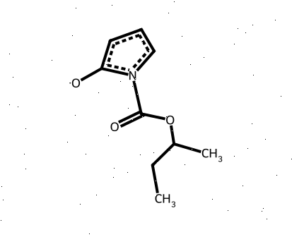 CCC(C)OC(=O)n1cccc1[O]